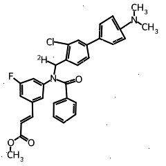 [2H]C(c1ccc(-c2ccc(N(C)C)cc2)cc1Cl)N(C(=O)c1ccccc1)c1cc(F)cc(/C=C/C(=O)OC)c1